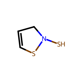 SN1CC=CS1